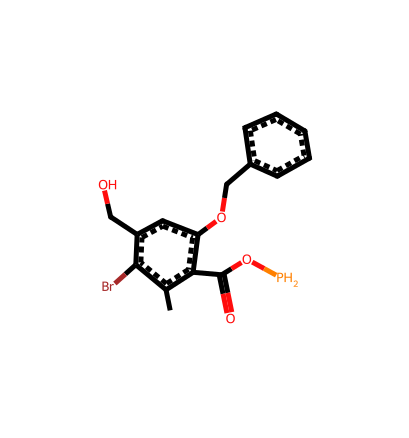 Cc1c(Br)c(CO)cc(OCc2ccccc2)c1C(=O)OP